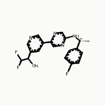 C[C@@H](Nc1cnc(-c2cncc(C(O)C(F)F)c2)cn1)c1ccc(F)cc1